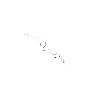 CCCCCCCCOC(=O)CC1CCc2cc(C(=O)Nc3ccc(/C=N/N4CCSCC4)cc3)ccc2C1